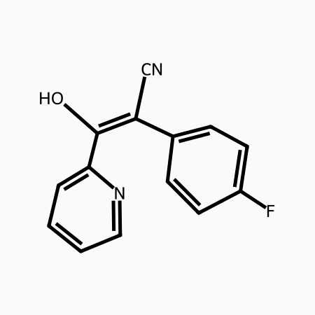 N#CC(=C(O)c1ccccn1)c1ccc(F)cc1